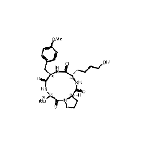 CC[C@H](C)[C@@H]1NC(=O)[C@@H](Cc2ccc(OC)cc2)NC(=O)[C@H](CCCCO)NC(=O)[C@H]2CCCN2C1=O